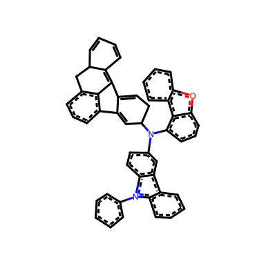 C1=CC2=C3C4=CCC(N(c5ccc6c(c5)c5ccccc5n6-c5ccccc5)c5cccc6oc7ccccc7c56)C=C4c4cccc(c43)CC2C=C1